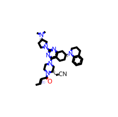 C/C=C/C(=O)N1CCN(c2nc(N3CC[C@H](N(C)C)C3)nc3c2CC[C@@H](N2CCCc4ccccc42)C3)C[C@@H]1CC#N